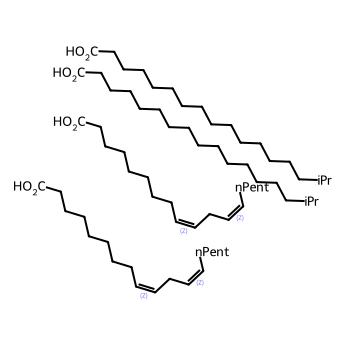 CC(C)CCCCCCCCCCCCCCC(=O)O.CC(C)CCCCCCCCCCCCCCC(=O)O.CCCCC/C=C\C/C=C\CCCCCCCC(=O)O.CCCCC/C=C\C/C=C\CCCCCCCC(=O)O